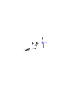 C#CC[SiH2][N+](C)(C)C